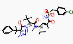 CN[C@H](C(=O)N[C@H](C(=O)N(C)[C@H](C=C(C)C(=O)NS(=O)(=O)Cc1ccc(Cl)cc1)C(C)C)C(C)(C)C)C(C)(C)c1ccccc1